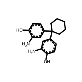 Nc1cc(C2(c3ccc(O)c(N)c3)CCCCC2)ccc1O